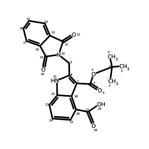 CC(C)(C)OC(=O)c1c(CN2C(=O)c3ccccc3C2=O)[nH]c2cccc(C(=O)O)c12